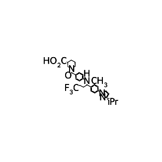 Cc1cc(-n2ccc(C(C)C)n2)ccc1C(CCC(F)(F)F)Nc1ccc(C(=O)N2CCC[C@@H](C(=O)O)C2)cc1